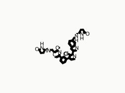 COc1nc(-c2cccc(-c3ccnc(-c4cnc5cc(CNC[C@H]6CCC(=O)N6)ccc5c4)c3Cl)c2Cl)ccc1CNC[C@H]1CCC(=O)N1